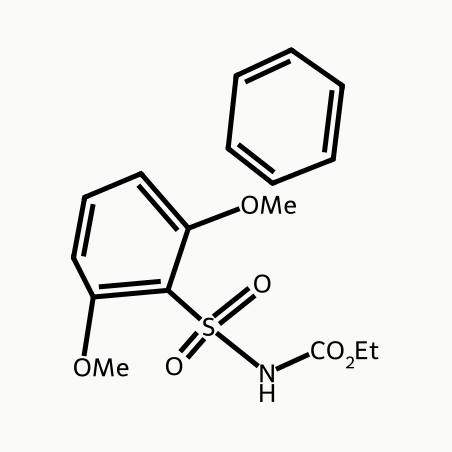 CCOC(=O)NS(=O)(=O)c1c(OC)cccc1OC.c1ccccc1